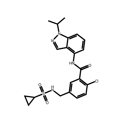 CC(C)n1ncc2c(NC(=O)c3cc(CNS(=O)(=O)C4CC4)ccc3Cl)cccc21